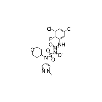 Cn1cc(N(C2CCOCC2)S(=O)(=O)[NH+]([O-])C(=O)Nc2cc(Cl)cc(Cl)c2F)cn1